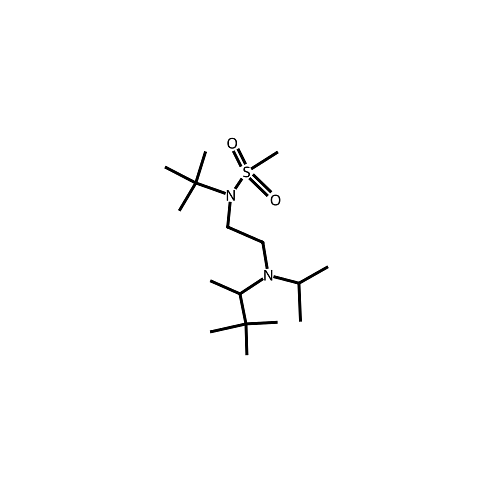 CC(C)N(CCN(C(C)(C)C)S(C)(=O)=O)C(C)C(C)(C)C